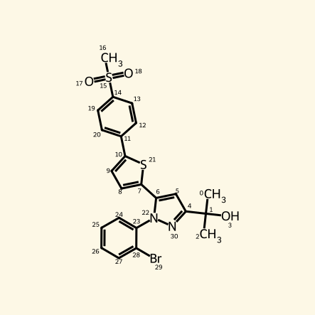 CC(C)(O)c1cc(-c2ccc(-c3ccc(S(C)(=O)=O)cc3)s2)n(-c2ccccc2Br)n1